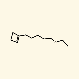 CCOCCCCCC1=CCC1